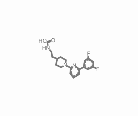 O=C(O)NCCC1CCN(c2cccc(-c3cc(F)cc(F)c3)n2)CC1